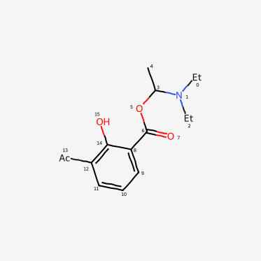 CCN(CC)C(C)OC(=O)c1cccc(C(C)=O)c1O